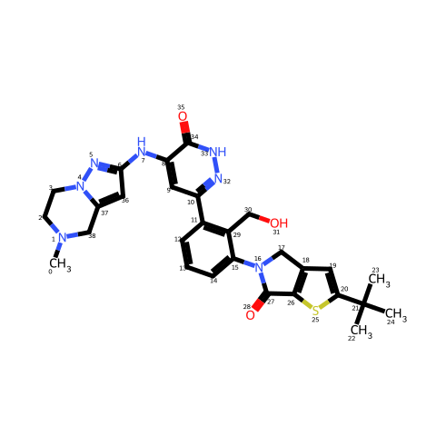 CN1CCn2nc(Nc3cc(-c4cccc(N5Cc6cc(C(C)(C)C)sc6C5=O)c4CO)n[nH]c3=O)cc2C1